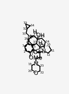 COc1ccc2c3c1O[C@H]1[C@@]4(CCCN4C(=O)CCN4CCOCC4)CC[C@@]4(O)[C@@H](C2)N(CC2CC2)CC[C@]314